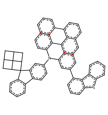 c1ccc(-c2cccc3cccc(-c4ccccc4N(c4cccc(-c5cccc6sc7ccccc7c56)c4)c4ccc5c(c4)C4(c6ccccc6-5)C5CC6CC7CC4C675)c23)cc1